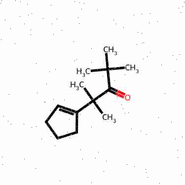 CC(C)(C)C(=O)C(C)(C)C1=CCCC1